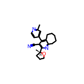 Cc1cc(-c2c(C#N)c([C@@]3(C)CCCO3)nc3c2CCCCC3)ccn1